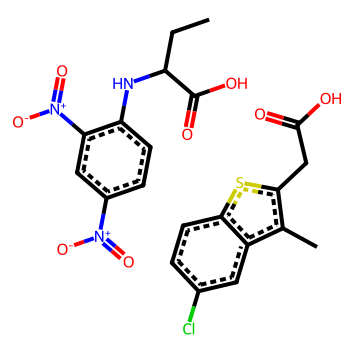 CCC(Nc1ccc([N+](=O)[O-])cc1[N+](=O)[O-])C(=O)O.Cc1c(CC(=O)O)sc2ccc(Cl)cc12